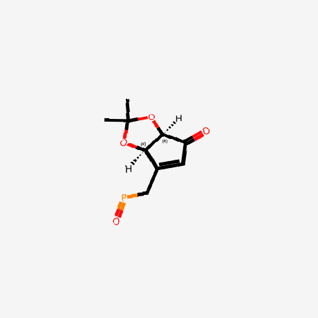 CC1(C)O[C@@H]2C(CP=O)=CC(=O)[C@@H]2O1